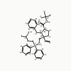 C=C[C@@]1(CO[Si](CCC(C)F)(c2ccccc2)c2ccccc2)CC[C@H](C(=O)OC(C)(C)C)N1Cc1ccccc1